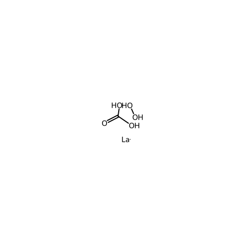 O=C(O)O.OO.[La]